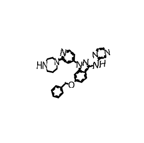 c1ccc(COc2ccc3c(Nc4cnccn4)nn(-c4ccnc(N5CCCNCC5)c4)c3c2)cc1